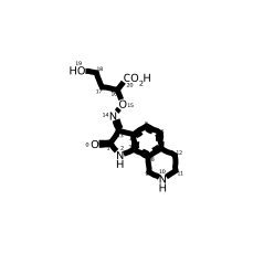 O=C1Nc2c(ccc3c2CNCC3)C1=NOC(CCO)C(=O)O